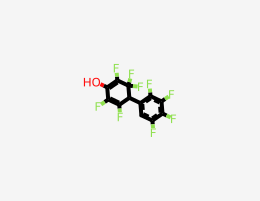 OC1=C(F)C(F)(F)C(c2cc(F)c(F)c(F)c2F)C(F)=C1F